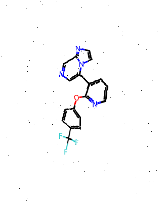 FC(F)(F)c1ccc(Oc2ncccc2-c2cncc3nccn23)cc1